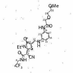 CCn1c(=C(C#N)C(=O)NCC(F)(F)F)sc(=CNc2cccc(NC(=O)COCCOC)c2)c1=O